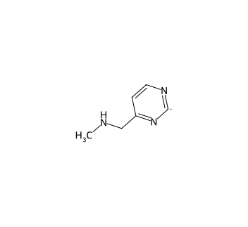 CNCc1ccn[c]n1